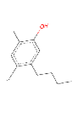 [CH2]c1cc(C)c(O)cc1CCCC